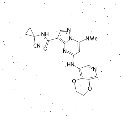 CNc1cc(Nc2cncc3c2OCCO3)nc2c(C(=O)NC3(C#N)CC3)cnn12